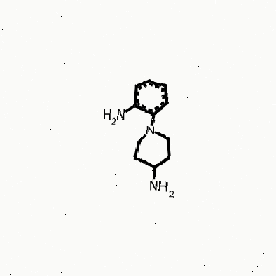 Nc1ccccc1N1CCC(N)CC1